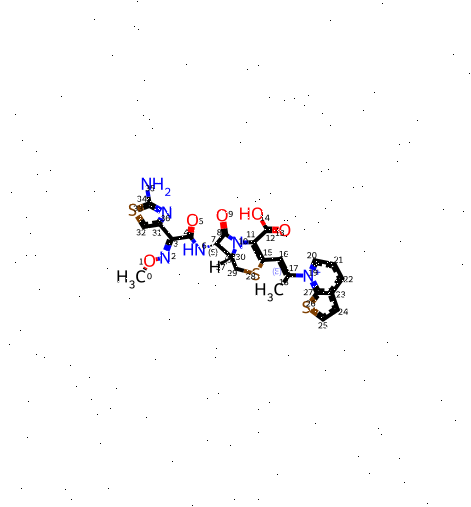 CON=C(C(=O)N[C@@H]1C(=O)N2C(C(=O)O)=C(/C=C(\C)[n+]3cccc4ccsc43)SC[C@H]12)c1csc(N)n1